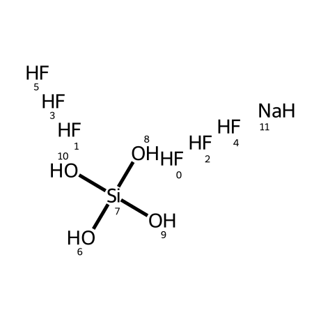 F.F.F.F.F.F.O[Si](O)(O)O.[NaH]